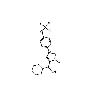 Cc1nn(-c2ccc(OC(F)(F)F)cc2)cc1C(O)C1CCCCC1